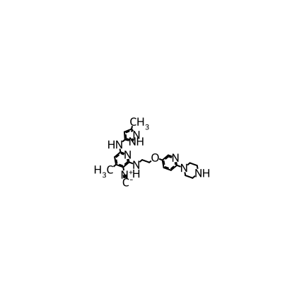 [C-]#[N+]c1c(C)cc(Nc2cc(C)n[nH]2)nc1NCCOc1ccc(N2CCNCC2)nc1